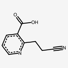 N#CCCc1ncccc1C(=O)O